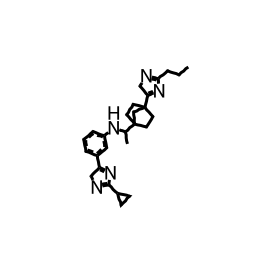 CCCC1=NCC(C23CCC(C(C)Nc4cccc(C5=NC(C6CC6)=NC5)c4)(CC2)C3)=N1